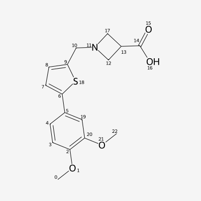 COc1ccc(-c2ccc(CN3CC(C(=O)O)C3)s2)cc1OC